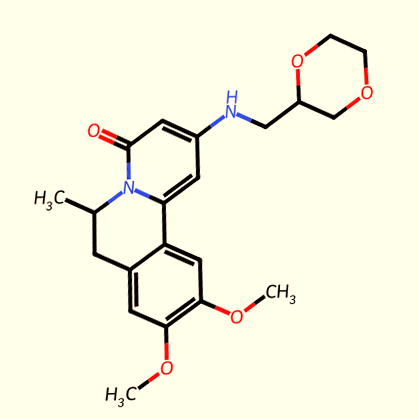 COc1cc2c(cc1OC)-c1cc(NCC3COCCO3)cc(=O)n1C(C)C2